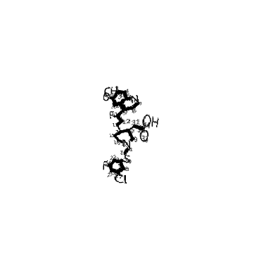 COc1ccc2nccc([C@H](F)CC[C@@H]3CCN(CCSc4cc(F)cc(Cl)c4)C[C@@H]3CC(=O)O)c2c1